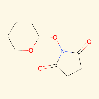 O=C1CCC(=O)N1OC1CCCCO1